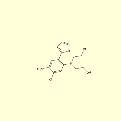 Nc1cc(-c2ccco2)c(N(CCO)CCO)cc1Cl